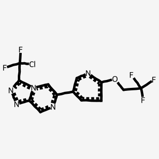 FC(F)(F)COc1ccc(-c2cn3c(C(F)(F)Cl)nnc3cn2)cn1